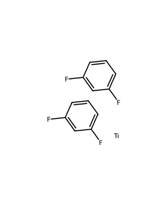 Fc1cccc(F)c1.Fc1cccc(F)c1.[Ti]